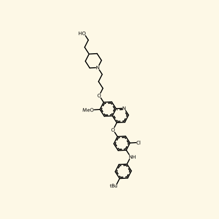 COc1cc2c(Oc3ccc(Nc4ccc(C(C)(C)C)cc4)c(Cl)c3)ccnc2cc1OCCCN1CCC(CCO)CC1